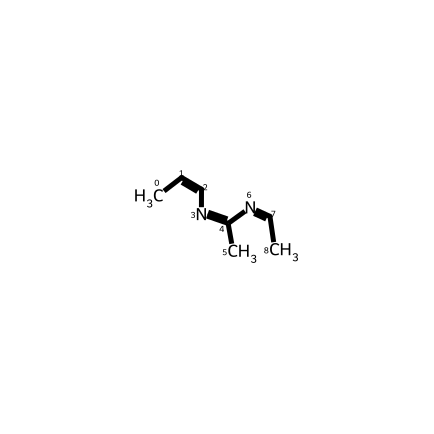 C\C=C/N=C(C)\N=C/C